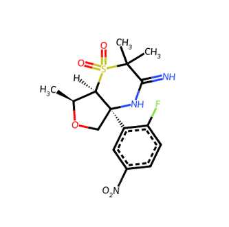 C[C@@H]1OC[C@]2(c3cc([N+](=O)[O-])ccc3F)NC(=N)C(C)(C)S(=O)(=O)[C@H]12